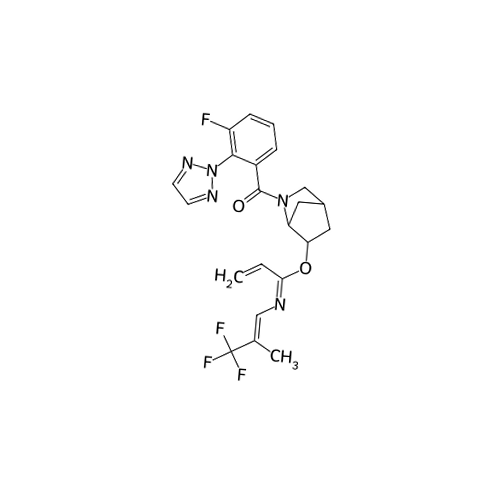 C=C/C(=N\C=C(/C)C(F)(F)F)OC1CC2CC1N(C(=O)c1cccc(F)c1-n1nccn1)C2